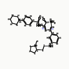 CN1CCCC1CCNc1cccc(C(/C=C(\C=O)NC(=O)c2ccc(N3CCCCC3)cc2)=C/N)n1